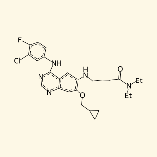 CCN(CC)C(=O)C=CCNc1cc2c(Nc3ccc(F)c(Cl)c3)ncnc2cc1OCC1CC1